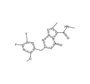 CNC(=O)c1c(C)sc2nc(Cc3cc(F)c(F)cc3OC)cc(=O)n12